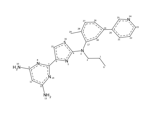 CCCN(c1nc(-c2nc(N)cc(N)n2)cs1)c1cc(-c2cccnc2)ccc1C